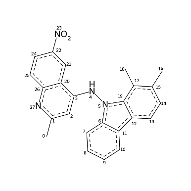 Cc1cc(Nn2c3ccccc3c3ccc(C)c(C)c32)c2cc([N+](=O)[O-])ccc2n1